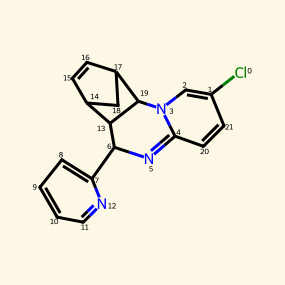 ClC1=CN2C(=NC(c3ccccn3)C3C4C=CC(C4)C32)C=C1